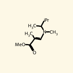 COC(=O)/C(C)=C/N(C)C(C)C(C)C